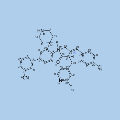 N#Cc1cncc(-c2ccc3c(c2)C2(CCNCC2)C[N+]3(C/C=C/c2ccc(Cl)cc2)C(=O)NCc2ccnc(F)c2)c1